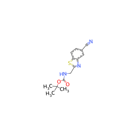 CC(C)(C)OC(=O)NCc1nc2cc(C#N)ccc2s1